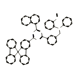 C=Nc1ccccc1N(Cc1cccc(C(=C)/N=C(\N=C(/C)c2ccc3c(c2)-c2ccccc2C32c3ccccc3-c3ccccc32)c2cccc3ccccc23)c1)c1ccccc1